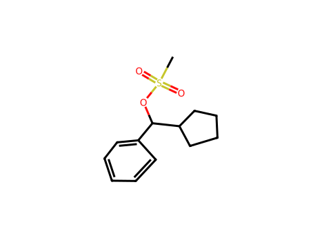 CS(=O)(=O)OC(c1ccccc1)C1CCCC1